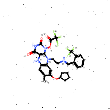 Cc1cc2c(cc1OC1CCCC1)N(CCNCc1ccccc1C(F)(F)F)c1c(c(=O)[nH]c(=O)n1OC(=O)C(F)(F)F)N2